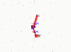 CC(=O)CCOCCOCCOCCOCCNC(=O)CCC(=O)N1Cc2ccccc2-c2nnn(CCCCCC(=O)NCCCCCCOP(O)(=S)OC(C)C)c2-c2ccccc21